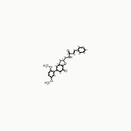 COc1ccc(OC)c(-c2cc(Cl)c3c(c2)CC(CNC(=O)C=Cc2cccnc2)O3)c1